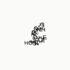 O=C(NC1CCOCC1)c1cc(OCc2c(-c3ccc(F)cc3)noc2CO)no1